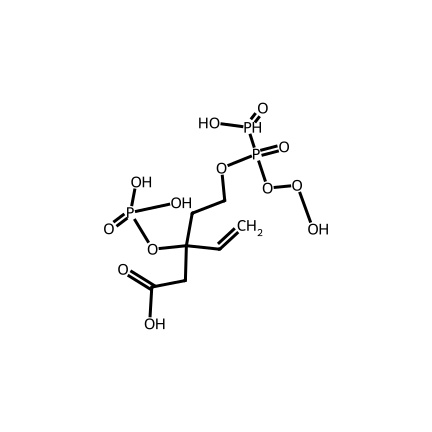 C=CC(CCOP(=O)(OOO)[PH](=O)O)(CC(=O)O)OP(=O)(O)O